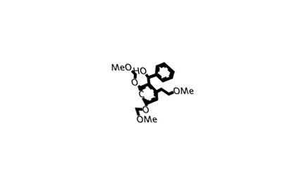 COCCc1cc(OCOC)cc(OCOC)c1C(O)c1ccccc1